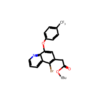 CC(C)(C)OC(=O)Cc1cc(Oc2ccc(C(F)(F)F)cc2)c2ncccc2c1Br